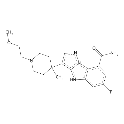 COCCN1CCC(C)(c2cnn3c2[nH]c2cc(F)cc(C(N)=O)c23)CC1